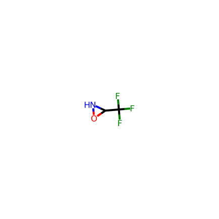 FC(F)(F)C1NO1